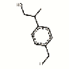 CC(CO)c1ccc(CCl)cc1